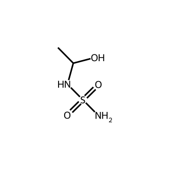 CC(O)NS(N)(=O)=O